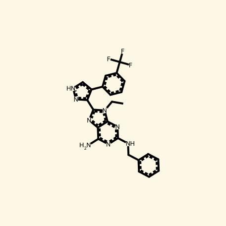 CCn1c(-c2n[nH]cc2-c2cccc(C(F)(F)F)c2)nc2c(N)nc(NCc3ccccc3)nc21